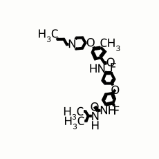 CCCCN1CCC(Oc2ccc(C(=O)Nc3ccc(Oc4ccc(NC(=O)NC(CC)CC)c(F)c4)cc3F)cc2C)CC1